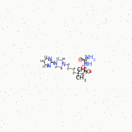 CC(C)(CCCCN1CCN(c2ncccn2)CC1)CC(=O)ONC(N)=O